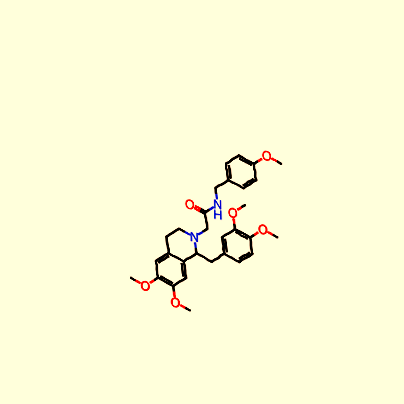 COc1ccc(CNC(=O)CN2CCc3cc(OC)c(OC)cc3C2Cc2ccc(OC)c(OC)c2)cc1